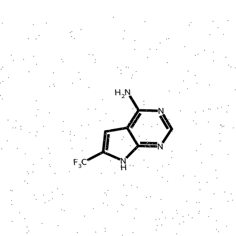 Nc1ncnc2[nH]c(C(F)(F)F)cc12